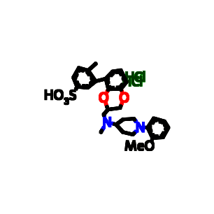 COc1ccccc1N1CCC(N(C)CC2COc3cccc(-c4cc(S(=O)(=O)O)ccc4C)c3O2)CC1.Cl.Cl